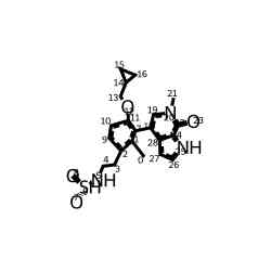 Cc1c(CCN[SH](=O)=O)ccc(OCC2CC2)c1-c1cn(C)c(=O)c2[nH]ccc12